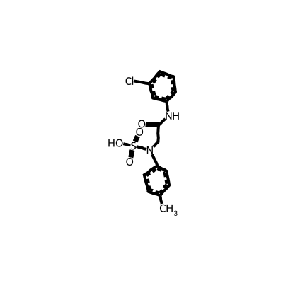 Cc1ccc(N(CC(=O)Nc2cccc(Cl)c2)S(=O)(=O)O)cc1